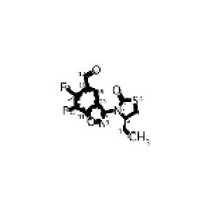 CC[C@@H]1CSC(=O)N1c1noc2c(F)c(F)c(C=O)cc12